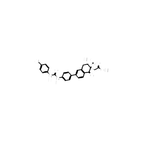 CO[C@@]1(CC(=O)O)CCc2cc(-c3ccc(NC(=O)Nc4ccc(Cl)cc4)cc3)ccc2C1=O